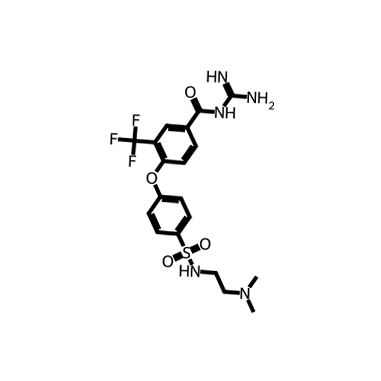 CN(C)CCNS(=O)(=O)c1ccc(Oc2ccc(C(=O)NC(=N)N)cc2C(F)(F)F)cc1